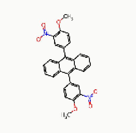 COc1ccc(-c2c3ccccc3c(-c3ccc(OC)c([N+](=O)[O-])c3)c3ccccc23)cc1[N+](=O)[O-]